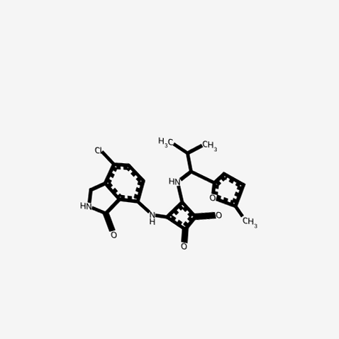 Cc1ccc(C(Nc2c(Nc3ccc(Cl)c4c3C(=O)NC4)c(=O)c2=O)C(C)C)o1